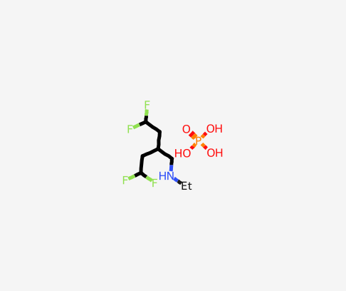 CCNCC(CC(F)F)CC(F)F.O=P(O)(O)O